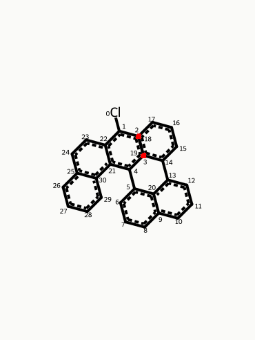 Clc1ccc(-c2cccc3cccc(-c4ccccc4)c23)c2c1ccc1ccccc12